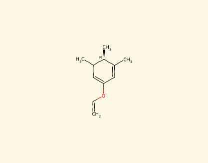 C=COC1=CC(C)[C@@H](C)C(C)=C1